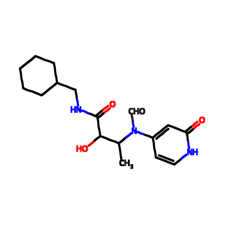 CC(C(O)C(=O)NCC1CCCCC1)N(C=O)c1cc[nH]c(=O)c1